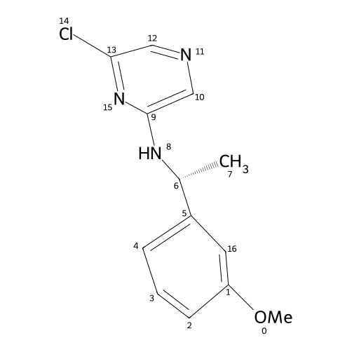 COc1cccc([C@@H](C)Nc2cncc(Cl)n2)c1